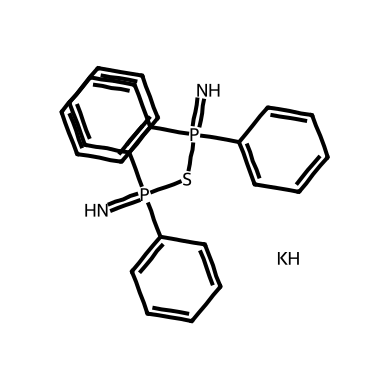 N=P(SP(=N)(c1ccccc1)c1ccccc1)(c1ccccc1)c1ccccc1.[KH]